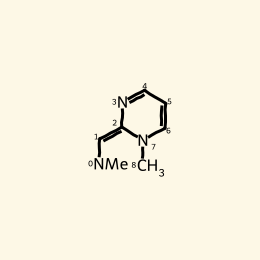 CN/C=C1/N=CC=CN1C